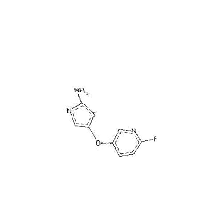 Nc1ncc(Oc2ccc(F)nc2)s1